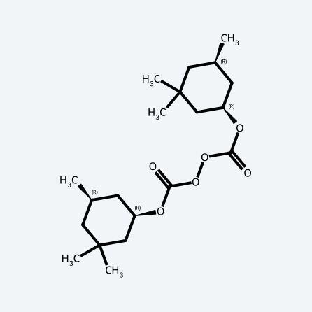 C[C@H]1C[C@@H](OC(=O)OOC(=O)O[C@@H]2C[C@H](C)CC(C)(C)C2)CC(C)(C)C1